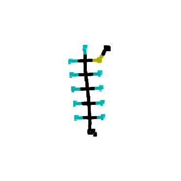 CCSC(F)(F)C(F)(F)C(F)(F)C(F)(F)C(F)(F)C(F)(F)F